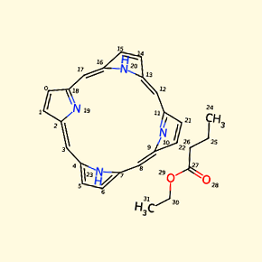 C1=Cc2cc3ccc(cc4nc(cc5ccc(cc1n2)[nH]5)C=C4)[nH]3.CCCC(=O)OCC